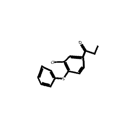 CCC(=O)c1ccc(Sc2ccccc2)c(Cl)c1